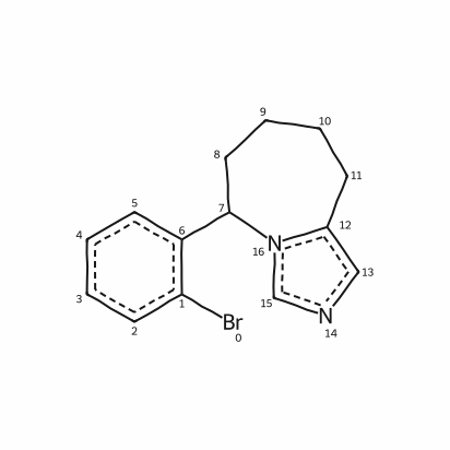 Brc1ccccc1C1CCCCc2cncn21